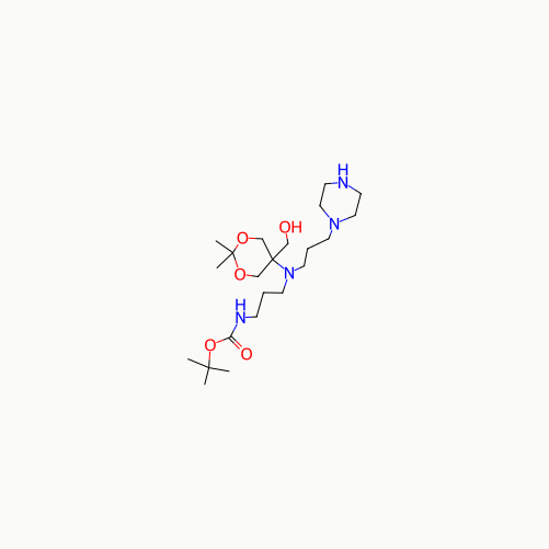 CC(C)(C)OC(=O)NCCCN(CCCN1CCNCC1)C1(CO)COC(C)(C)OC1